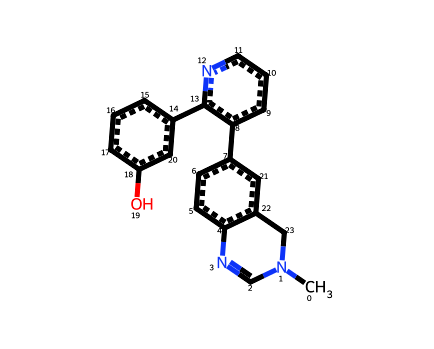 CN1C=Nc2ccc(-c3cccnc3-c3cccc(O)c3)cc2C1